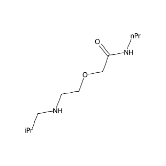 CCCNC(=O)COCCNCC(C)C